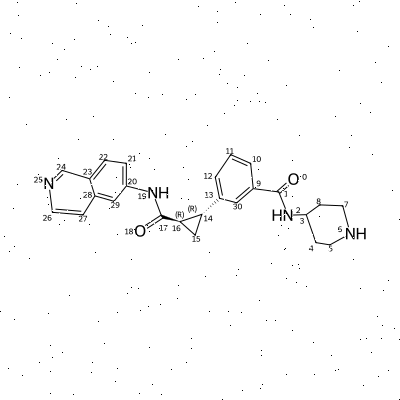 O=C(NC1CCNCC1)c1cccc([C@@H]2C[C@H]2C(=O)Nc2ccc3cnccc3c2)c1